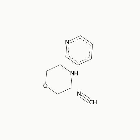 C#N.C1COCCN1.c1ccncc1